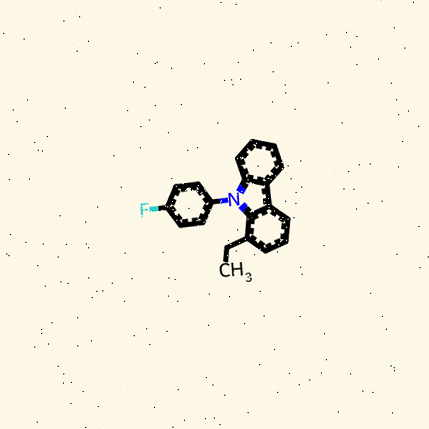 CCc1cccc2c3ccccc3n(-c3ccc(F)cc3)c12